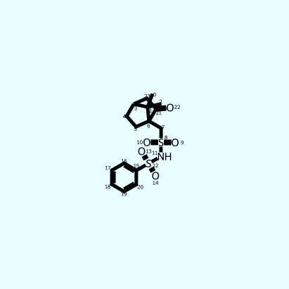 CC1(C)C2CCC1(CS(=O)(=O)NS(=O)(=O)c1ccccc1)C(=O)C2